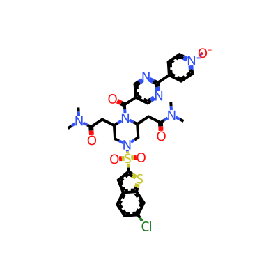 CN(C)C(=O)CC1CN(S(=O)(=O)c2cc3ccc(Cl)cc3s2)CC(CC(=O)N(C)C)N1C(=O)c1cnc(-c2cc[n+]([O-])cc2)nc1